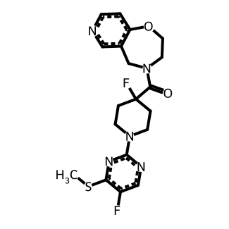 CSc1nc(N2CCC(F)(C(=O)N3CCOc4ccncc4C3)CC2)ncc1F